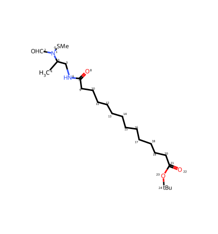 CSN(C=O)C(C)CNC(=O)CCCCCCCCCCCCC(=O)OC(C)(C)C